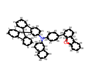 c1ccc2c(c1)-c1ccccc1C21c2ccccc2-c2ccc(N(c3ccc(-c4cccc5c4oc4ccccc45)cc3)c3ccc4ccccc4c3)cc21